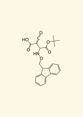 CC(C)(C)OC(=O)C(NOCC1c2ccccc2-c2ccccc21)C(=C=O)C(=O)O